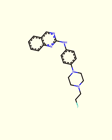 FCCN1CCN(c2ccc(Nc3ncc4ccccc4n3)cc2)CC1